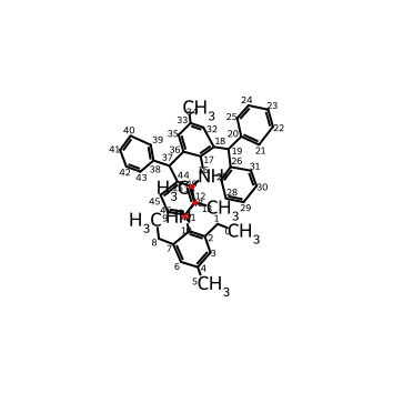 CCc1cc(C)cc(CC)c1NC(C)C(C)Nc1c(C(c2ccccc2)c2ccccc2)cc(C)cc1C(c1ccccc1)c1ccccc1